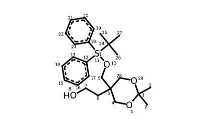 CC1(C)OCC(CCO)(CO[Si](c2ccccc2)(c2ccccc2)C(C)(C)C)CO1